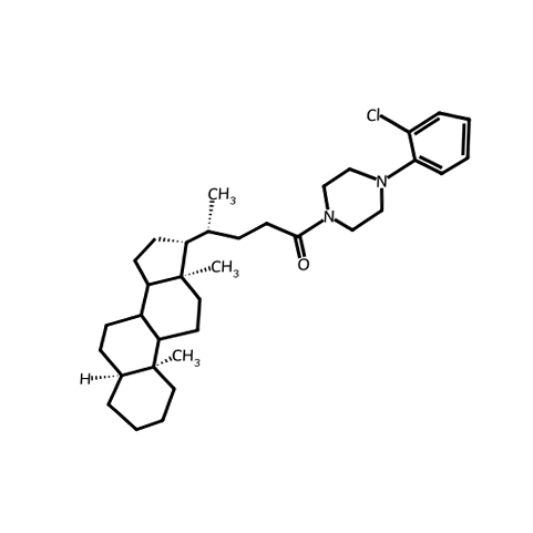 C[C@H](CCC(=O)N1CCN(c2ccccc2Cl)CC1)[C@H]1CCC2C3CC[C@@H]4CCCC[C@]4(C)C3CC[C@@]21C